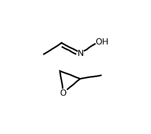 CC1CO1.CC=NO